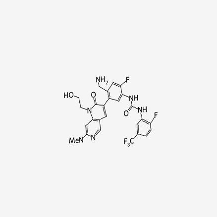 CNc1cc2c(cn1)cc(-c1cc(NC(=O)Nc3cc(C(F)(F)F)ccc3F)c(F)cc1CN)c(=O)n2CCO